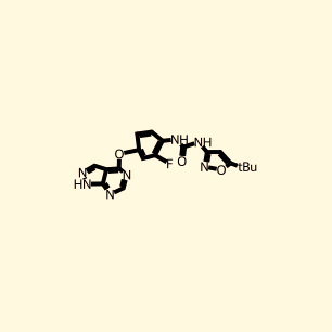 CC(C)(C)c1cc(NC(=O)Nc2ccc(Oc3ncnc4[nH]ncc34)cc2F)no1